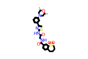 C[C@@H]1CN(c2cccc(-c3csc(NC(=O)CNC(=O)c4ccc5c(c4)S(=O)(=O)CCCC5)n3)c2)C[C@H](C)O1